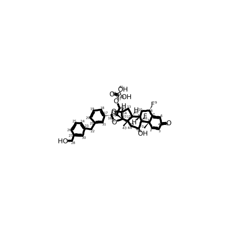 C[C@]12C=CC(=O)C=C1[C@@H](F)C[C@H]1[C@@H]3C[C@H]4O[C@@H](c5cccc(Cc6cccc(CO)c6)c5)O[C@@]4(C(=O)COP(=O)(O)O)[C@@]3(C)C[C@H](O)[C@@]12F